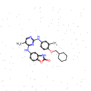 Cc1cnc(Nc2ccc(OCC3CCCCC3)c(C(F)(F)F)c2)nc1Nc1ccc2oc(=O)[nH]c2c1